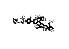 O=C1O[C@@H](Cn2ccnn2)CN1c1ccc(-c2ccc(C(C(CCCCC34COCC3C4CO)C34COCC3C4CO)C34COCC3C4CO)nc2)c(F)c1